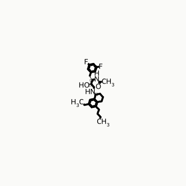 CCCCc1cc(CC)cc2c1CCC[C@@H]2NC[C@H](O)[C@H](Cc1cc(F)cc(F)c1)NC(C)=O